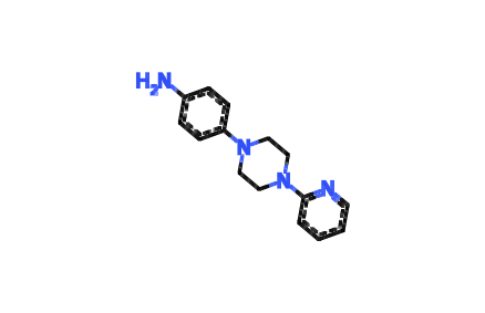 Nc1ccc(N2CCN(c3ccccn3)CC2)cc1